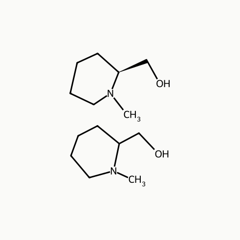 CN1CCCCC1CO.CN1CCCC[C@H]1CO